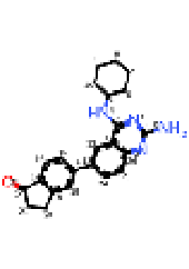 Nc1nc(NC2CCCCC2)c2cc(-c3ccc4c(c3)CCC4=O)ccc2n1